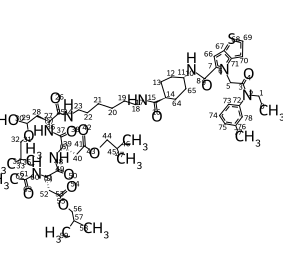 CCN(C(=O)Cn1c(C(=O)N[C@H]2CC[C@H](C(=O)NCCCCCCNC(=O)[C@H](CC(O)OCC(C)C)NC(=O)[C@H](CC(=O)OCC(C)C)NC(=O)[C@H](CC(=O)OCC(C)C)NC(C)=O)CC2)cc2sccc21)c1cccc(C)c1